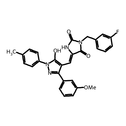 COc1cccc(-c2nn(-c3ccc(C)cc3)c(O)c2/C=C2\NC(=O)N(Cc3cccc(F)c3)C2=O)c1